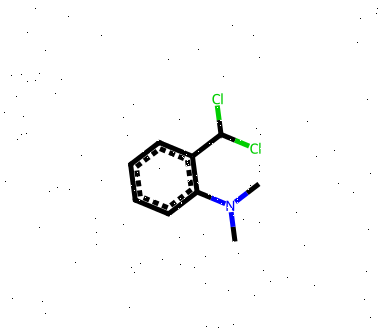 CN(C)c1ccccc1[C](Cl)Cl